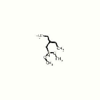 CCC(CC)C[SiH](OC)OC